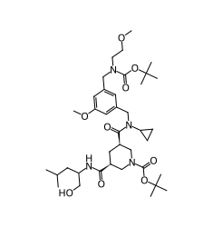 COCCN(Cc1cc(CN(C(=O)[C@@H]2C[C@H](C(=O)NC(CO)CC(C)C)CN(C(=O)OC(C)(C)C)C2)C2CC2)cc(OC)c1)C(=O)OC(C)(C)C